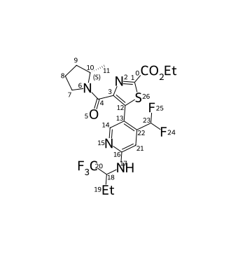 CCOC(=O)c1nc(C(=O)N2CCC[C@@H]2C)c(-c2cnc(NC(CC)C(F)(F)F)cc2C(F)F)s1